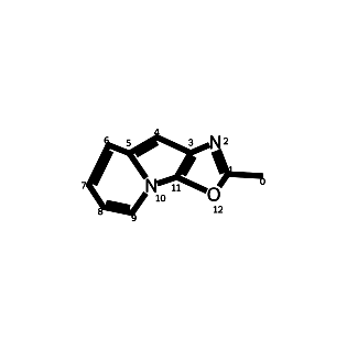 Cc1nc2cc3ccccn3c2o1